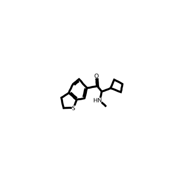 CNC(C(=O)c1ccc2c(c1)SCC2)C1CCC1